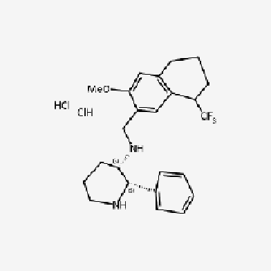 COc1cc2c(cc1CN[C@H]1CCCN[C@H]1c1ccccc1)C(C(F)(F)F)CCC2.Cl.Cl